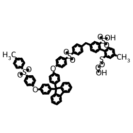 Cc1ccc(S(=O)(=O)c2ccc(Oc3ccc(C4(c5ccc(Oc6ccc(S(=O)(=O)c7ccc(Cc8ccc(-c9ccc(C)cc9SOOO)c(S(=O)(=O)O)c8)cc7)cc6)cc5)c5ccccc5-c5ccccc54)cc3)cc2)cc1